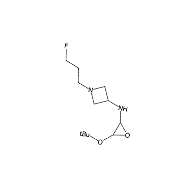 CC(C)(C)OC1OC1NC1CN(CCCF)C1